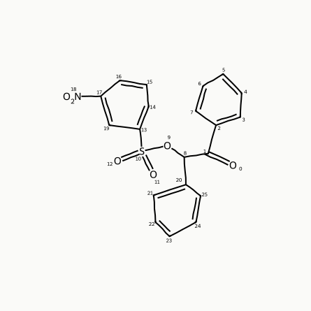 O=C(c1ccccc1)C(OS(=O)(=O)c1cccc([N+](=O)[O-])c1)c1ccccc1